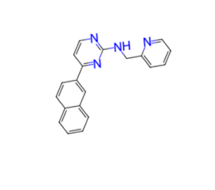 c1ccc(CNc2nccc(-c3ccc4ccccc4c3)n2)nc1